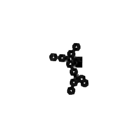 N=C1C(c2ccc(-n3c4ccc(-c5ccccc5)cc4c4c5ccccc5ccc43)cc2)=CC=C(N(c2ccc(-c3ccccc3)cc2)c2ccc(-c3ccccc3)cc2)/C1=N/S